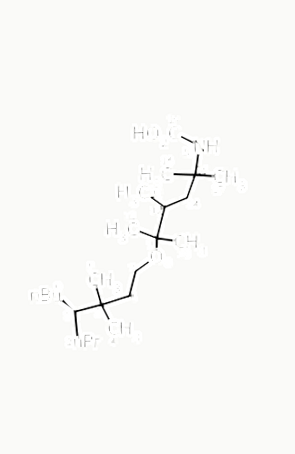 CCCC[C@H](CCC)C(C)(C)CCOC(C)(C)C(C)CC(C)(C)NC(=O)O